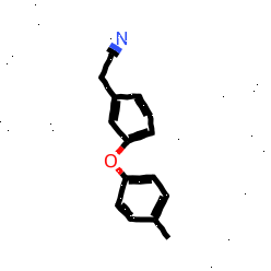 Cc1ccc(Oc2cccc(CC#N)c2)cc1